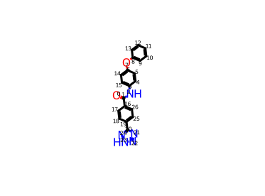 O=C(Nc1ccc(Oc2ccccc2)cc1)c1ccc(-c2nn[nH]n2)cc1